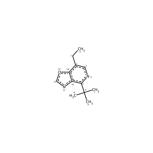 CCc1cnc(C(C)(C)C)c2ncoc12